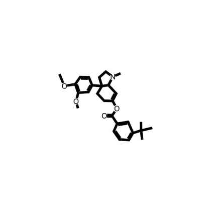 COc1ccc(C23CCC(OC(=O)c4cccc(C(C)(C)C)c4)=CC2N(C)CC3)cc1OC